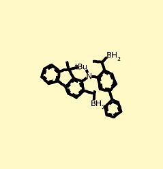 BC(C)c1ccc(-c2ccccc2)cc1N(c1c(C(B)C)ccc2c1C(C)(C)c1ccccc1-2)C(C)(C)C